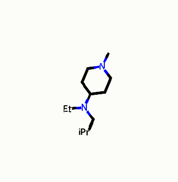 CCN(CC(C)C)C1CCN(C)CC1